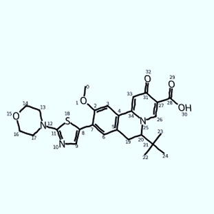 COc1cc2c(cc1-c1cnc(N3CCOCC3)s1)CC(C(C)(C)C)n1cc(C(=O)O)c(=O)cc1-2